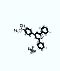 CN(C)c1ccc(-c2cc(-c3ccccc3)[o+]c(-c3ccccc3)c2)cc1.F[B-](F)(F)F